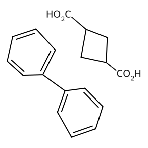 O=C(O)C1CC(C(=O)O)C1.c1ccc(-c2ccccc2)cc1